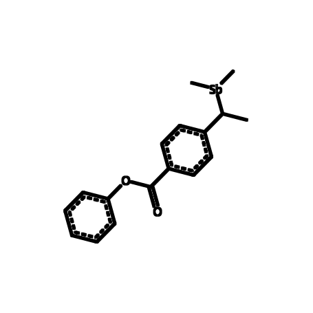 C[CH](c1ccc(C(=O)Oc2ccccc2)cc1)[Sb]([CH3])[CH3]